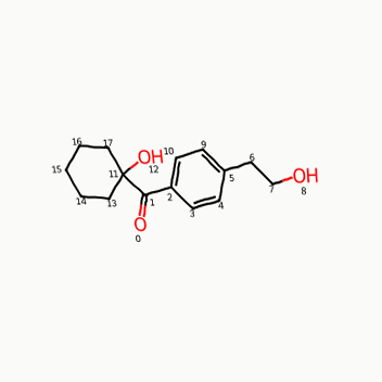 O=C(c1ccc(CCO)cc1)C1(O)CCCCC1